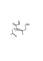 C=CC(N)=O.CC(=O)CCO.CC(C)=O